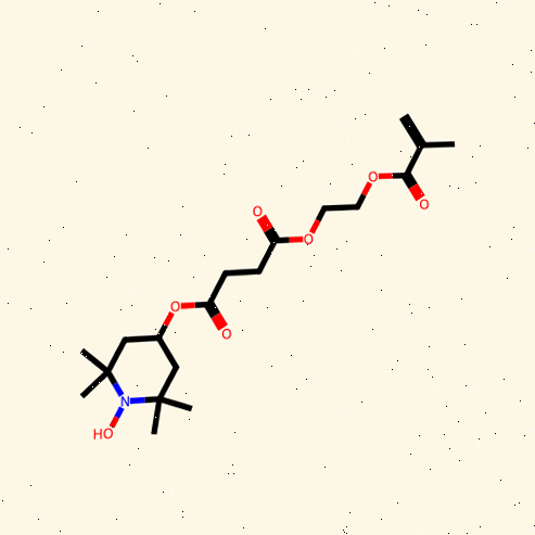 C=C(C)C(=O)OCCOC(=O)CCC(=O)OC1CC(C)(C)N(O)C(C)(C)C1